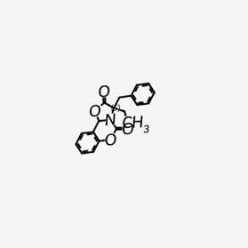 CC[C@]1(Cc2ccccc2)C(=O)OC2c3ccccc3OC(=O)N21